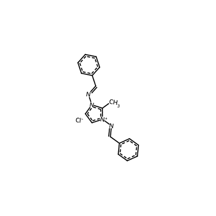 Cc1n(N=Cc2ccccc2)cc[n+]1N=Cc1ccccc1.[Cl-]